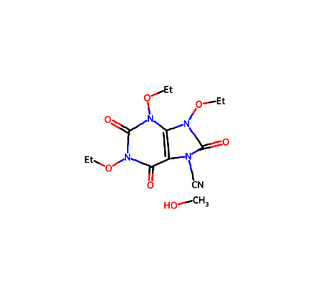 CCOn1c(=O)c2c(n(OCC)c1=O)n(OCC)c(=O)n2C#N.CO